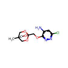 CC12COC(COc3nnc(Cl)cc3N)(OC1)OC2